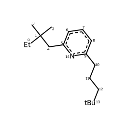 CCC(C)(C)Cc1cccc(CCCC(C)(C)C)n1